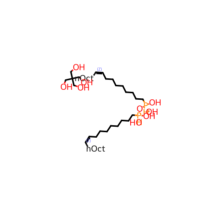 CCCCCCCC/C=C\CCCCCCCC[PH](O)(O)O[PH](O)(O)CCCCCCCC/C=C\CCCCCCCC.OCC(CO)(CO)CO